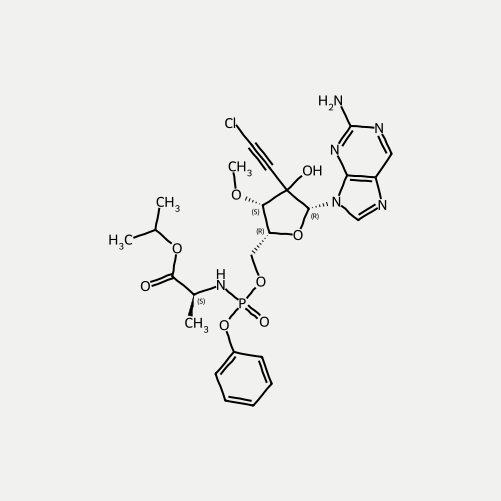 CO[C@H]1[C@@H](COP(=O)(N[C@@H](C)C(=O)OC(C)C)Oc2ccccc2)O[C@@H](n2cnc3cnc(N)nc32)C1(O)C#CCl